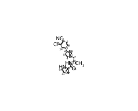 C[C@@H](Cn1ccc(-c2ccc(C#N)c(Cl)c2)n1)NC(=O)c1ncc[nH]1